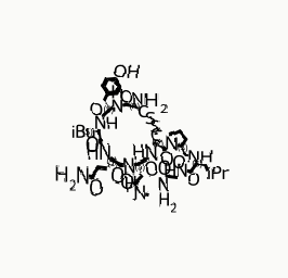 CC[C@H](C)C1NC(=O)[C@H](Cc2ccc(O)cc2)NC(=O)[C@@H](N)CSSC[C@@H](C(=O)N2CCC[C@H]2C(=O)N[C@@H](CC(C)C)C(=O)NCC(N)=O)NC(=O)[C@H](CC(=O)N(C)C)NC(=O)[C@H](CCC(N)=O)NC1=O